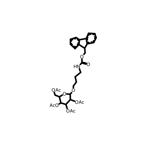 CC(=O)OCC1OC(OCCCCNC(=O)OCC2c3ccccc3-c3ccccc32)C(OC(C)=O)C(OC(C)=O)C1OC(C)=O